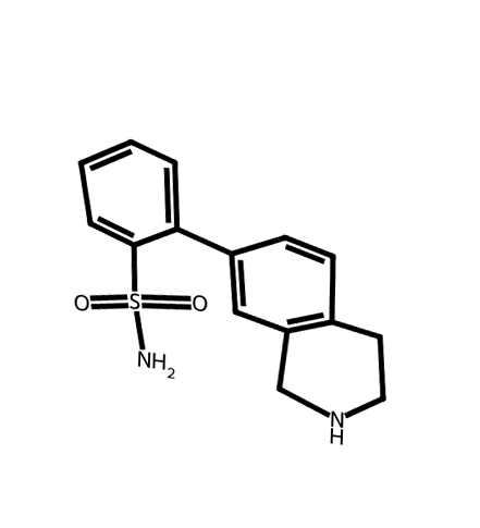 NS(=O)(=O)c1ccccc1-c1ccc2c(c1)CNCC2